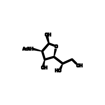 CC(=O)N[C@H]1[C@@H](O)[C@@H]([C@@H](O)CO)O[C@@H]1O